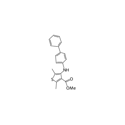 COC(=O)c1c(C)sc(C)c1Nc1ccc(-c2ccccc2)cc1